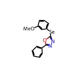 COc1cccc([Se]c2nnc(-c3ccccc3)o2)c1